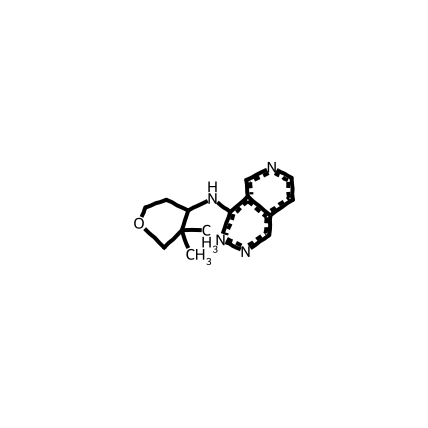 CC1(C)COCCC1Nc1nncc2ccncc12